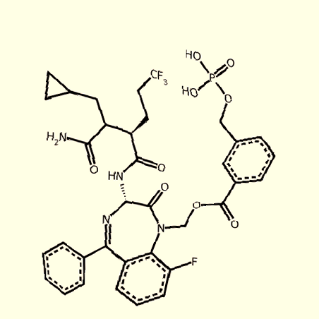 NC(=O)C(CC1CC1)[C@@H](CCC(F)(F)F)C(=O)N[C@H]1N=C(c2ccccc2)c2cccc(F)c2N(COC(=O)c2cccc(COP(=O)(O)O)c2)C1=O